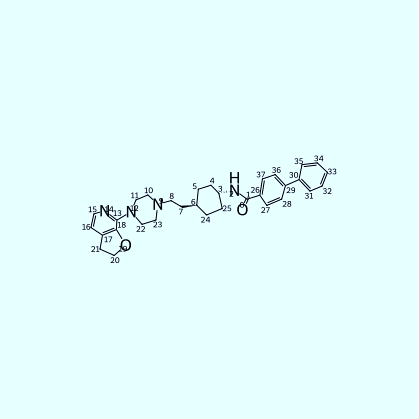 O=C(N[C@H]1CC[C@H](CCN2CCN(c3nccc4c3OCC4)CC2)CC1)c1ccc(-c2ccccc2)cc1